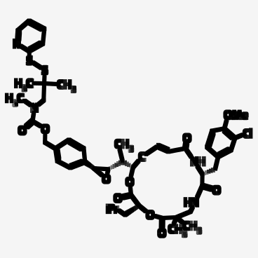 COc1ccc(C[C@H]2NC(=O)/C=C/C[C@@H](C(C)[C@@H]3O[C@H]3c3ccc(COC(=O)N(C)CC(C)(C)SSc4ccccn4)cc3)OC(=O)[C@H](CC(C)C)OC(=O)C(C)(C)CNC2=O)cc1Cl